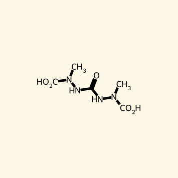 CN(NC(=O)NN(C)C(=O)O)C(=O)O